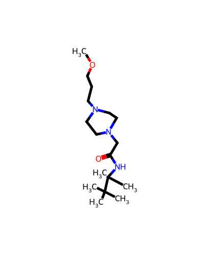 COCCCN1CCN(CC(=O)NC(C)(C)C(C)(C)C)CC1